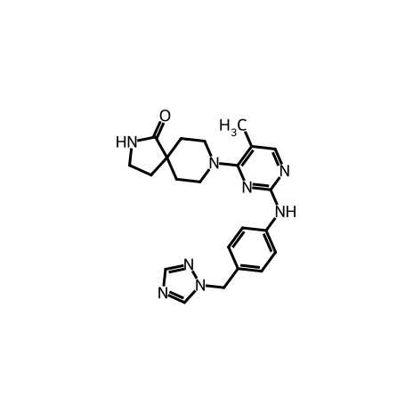 Cc1cnc(Nc2ccc(Cn3cncn3)cc2)nc1N1CCC2(CCNC2=O)CC1